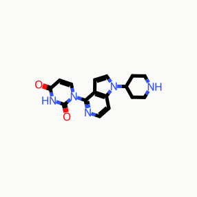 O=c1ccn(-c2nccc3c2ccn3C2CCNCC2)c(=O)[nH]1